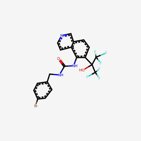 O=C(NCc1ccc(Br)cc1)Nc1c(C(O)(C(F)(F)F)C(F)(F)F)ccc2cnccc12